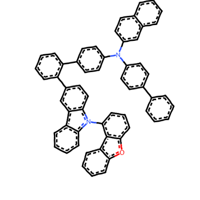 c1ccc(-c2ccc(N(c3ccc(-c4ccccc4-c4ccc5c(c4)c4ccccc4n5-c4cccc5oc6ccccc6c45)cc3)c3ccc4ccccc4c3)cc2)cc1